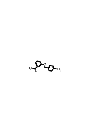 NC(=O)c1cccc(OCc2ccc(N)cc2)c1